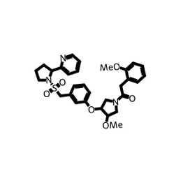 COc1ccccc1CC(=O)N1CC(OC)C(Oc2cccc(CS(=O)(=O)N3CCCC3c3ccccn3)c2)C1